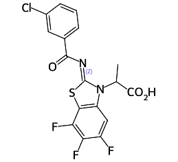 CC(C(=O)O)n1/c(=N/C(=O)c2cccc(Cl)c2)sc2c(F)c(F)c(F)cc21